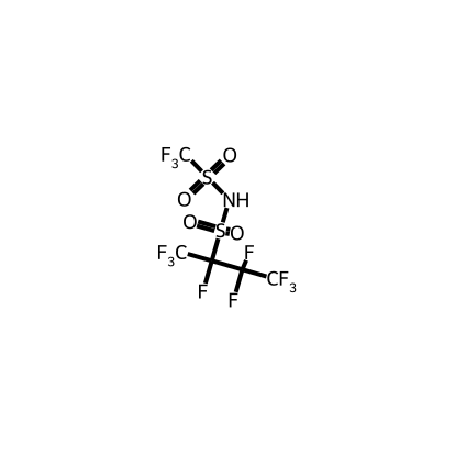 O=S(=O)(NS(=O)(=O)C(F)(C(F)(F)F)C(F)(F)C(F)(F)F)C(F)(F)F